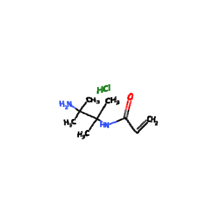 C=CC(=O)NC(C)(C)C(C)(C)N.Cl